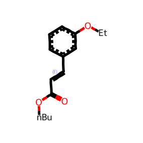 CCCCOC(=O)/C=C/c1cccc(OCC)c1